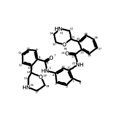 Cc1ccc(NC(=O)c2ccccc2C2CNCCO2)cc1NC(=O)c1ccccc1C1CNCCO1